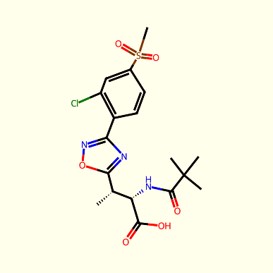 C[C@H](c1nc(-c2ccc(S(C)(=O)=O)cc2Cl)no1)[C@H](NC(=O)C(C)(C)C)C(=O)O